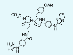 COc1ccc(CC(NC(=O)c2ccc(Nc3noc(C(F)(F)F)n3)cc2)C(=O)N2CCN(CC(=O)O)C(=O)C2CCCNC(=O)c2ccc(NC(=N)N)cc2)cc1